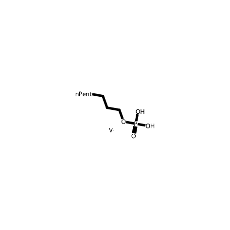 CCCCCCCCOP(=O)(O)O.[V]